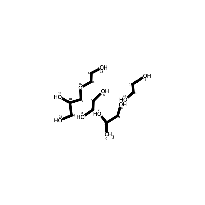 CC(O)CO.OCCO.OCCO.OCCOCC(O)CO